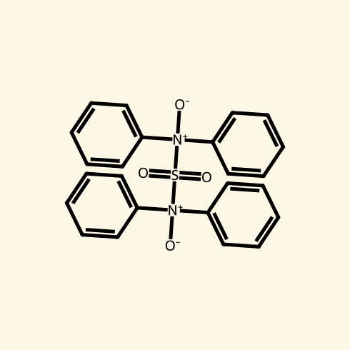 O=S(=O)([N+]([O-])(c1ccccc1)c1ccccc1)[N+]([O-])(c1ccccc1)c1ccccc1